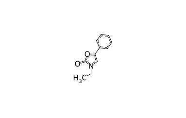 CCn1cc(-c2ccccc2)oc1=O